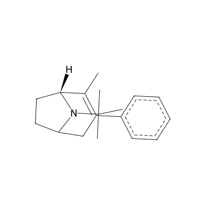 CC1=C(c2ccccc2)CC2CC[C@H]1N2C(C)(C)C